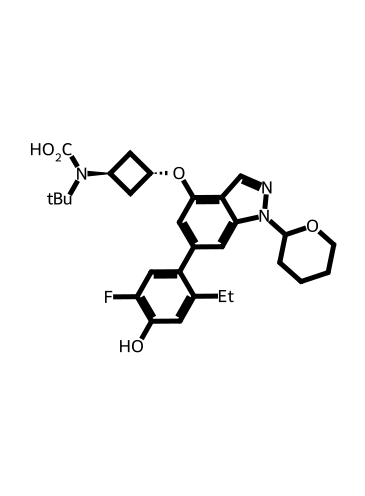 CCc1cc(O)c(F)cc1-c1cc(O[C@H]2C[C@H](N(C(=O)O)C(C)(C)C)C2)c2cnn(C3CCCCO3)c2c1